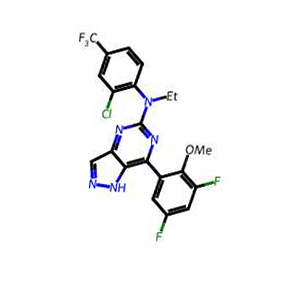 CCN(c1nc(-c2cc(F)cc(F)c2OC)c2[nH]ncc2n1)c1ccc(C(F)(F)F)cc1Cl